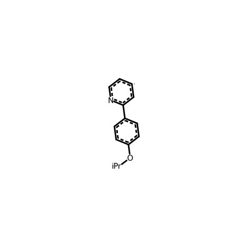 CC(C)Oc1ccc(-c2c[c]ccn2)cc1